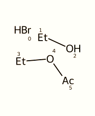 Br.CCO.CCOC(C)=O